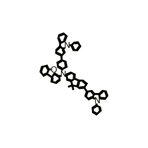 CC1(C)c2cc(-c3ccc4c(c3)c3ccccc3n4-c3ccccc3)ccc2-c2ccc(N(c3ccc(-c4ccc5c6ccccc6n(-c6ccccc6)c5c4)cc3)c3cccc4c3oc3ccccc34)cc21